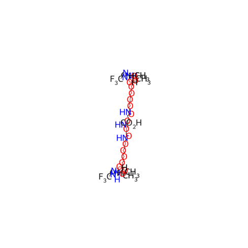 CC1(C)O[C@@H]2[C@H](O1)[C@@H](Nc1nccc(C(F)(F)F)n1)CO[C@@H]2COCCOCCOCCOCCNC(=O)CCOCC(COCCC(=O)NCCOCCOCCOCCOC[C@H]1OC[C@H](Nc2nccc(C(F)(F)F)n2)[C@H]2OC(C)(C)O[C@H]21)NC(=O)O